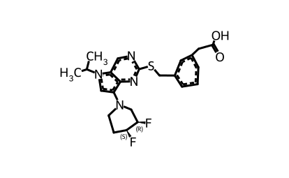 CC(C)n1cc(N2CC[C@H](F)[C@H](F)C2)c2nc(SCc3cccc(CC(=O)O)c3)ncc21